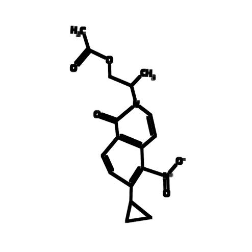 CC(=O)OCC(C)n1ccc2c([N+](=O)[O-])c(C3CC3)ccc2c1=O